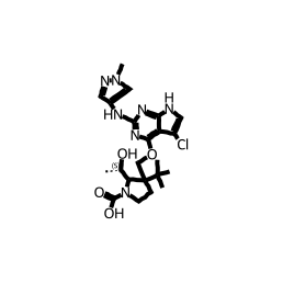 C[C@H](O)C1N(C(=O)O)CCC1(COc1nc(Nc2cnn(C)c2)nc2[nH]cc(Cl)c12)C(C)(C)C